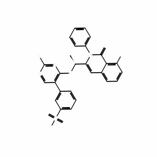 CCS(=O)(=O)c1cccc(-c2cnc(N)nc2N[C@@H](C)c2cc3cccc(Cl)c3c(=O)n2-c2ccccc2)c1